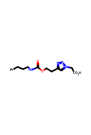 CC(C)CCCNC(=O)OCCc1cn(CC(=O)O)nn1